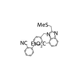 CCOC(=O)c1cccc2nc(CSC)n(Cc3ccc(-c4ccccc4C#N)cc3)c12